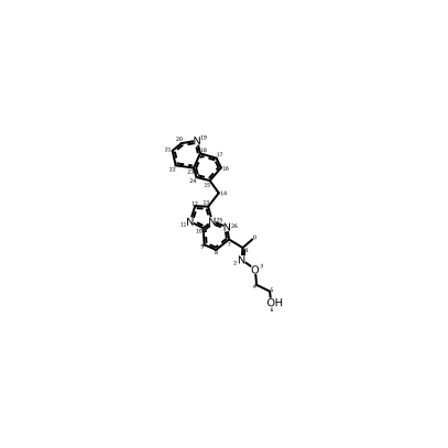 C/C(=N\OCCO)c1ccc2ncc(Cc3ccc4ncccc4c3)n2n1